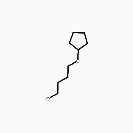 [O]CCCCOC1CCCC1